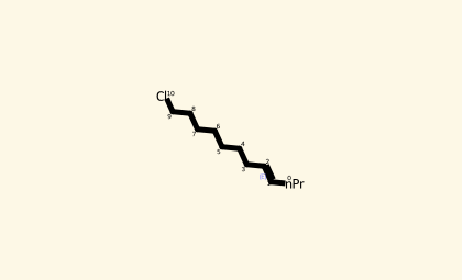 CCC/C=C/CCCCCCCCl